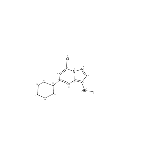 CBc1cnn2c(Cl)cc(C3CCCCC3)nc12